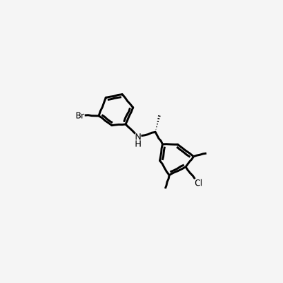 Cc1cc([C@@H](C)Nc2cccc(Br)c2)cc(C)c1Cl